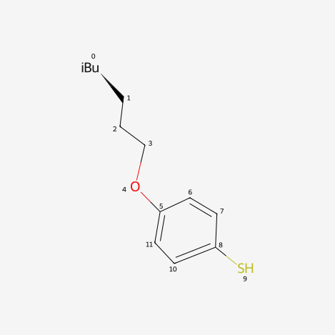 CC[C@H](C)CCCOc1ccc(S)cc1